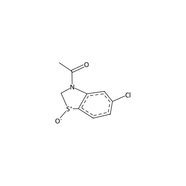 CC(=O)N1C[S+]([O-])c2ccc(Cl)cc21